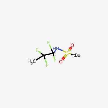 CC(F)(F)C(F)(F)NS(=O)(=O)C(C)(C)C